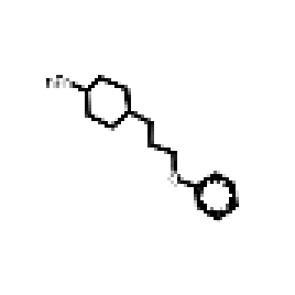 CCCC1CCC(CCCOc2ccccc2)CC1